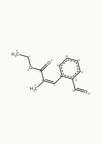 CCOC(=O)C(C)=Cc1ccccc1C=O